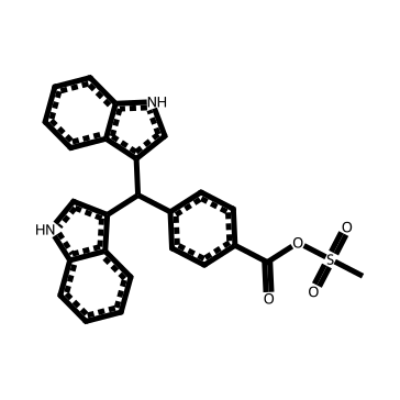 CS(=O)(=O)OC(=O)c1ccc(C(c2c[nH]c3ccccc23)c2c[nH]c3ccccc23)cc1